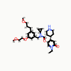 CCn1ccc([C@@H]2CCNC[C@H]2C(=O)N(Cc2cc(CCCOC)cc(OCCOC)c2)C2CC2)cc1=O